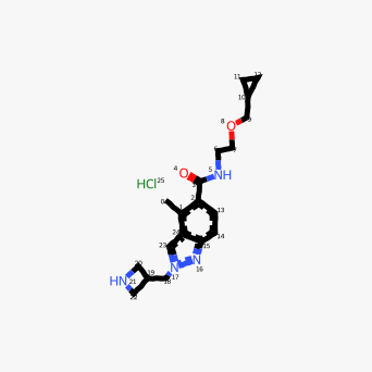 Cc1c(C(=O)NCCOCC2CC2)ccc2nn(CC3CNC3)cc12.Cl